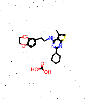 Cc1csc2nc(C3CCCCC3)nc(NCCc3ccc4c(c3)OCCO4)c12.O=C(O)O